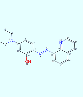 CCN(CC)c1ccc(N=Nc2cccc3cccnc23)c(O)c1